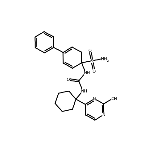 N#Cc1nccc(C2(NC(=O)NC3(S(N)(=O)=O)C=CC(c4ccccc4)=CC3)CCCCC2)n1